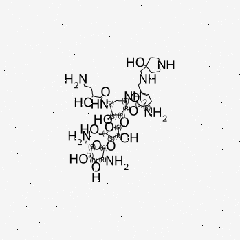 NCCC(O)C(=O)N[C@@H]1C[C@H](N)[C@@H](O[C@H]2OC(CNCC3(O)CCNCC3)=CC[C@H]2N)[C@H](O[C@@H]2O[C@H](CO)[C@@H](O[C@H]3O[C@@H](CN)[C@@H](O)[C@H](O)[C@H]3N)[C@H]2O)[C@H]1O